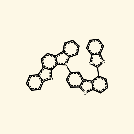 c1ccc2oc(-c3cccc4oc5ccc(-n6c7ccccc7c7ccc8c9ccccc9oc8c76)cc5c34)nc2c1